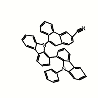 N#Cc1ccc2cc(-n3c4ccccc4c4cccc(-c5cccc6c7ccccc7n(-c7ccccc7)c56)c43)c3ccccc3c2c1